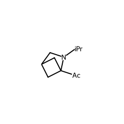 CC(=O)C12CC(CN1C(C)C)C2